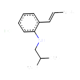 COC(CNc1ccccc1C=CNC(C)=O)OC.Cl